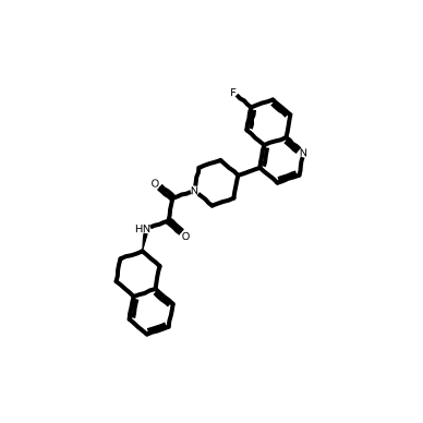 O=C(N[C@@H]1CCc2ccccc2C1)C(=O)N1CCC(c2ccnc3ccc(F)cc23)CC1